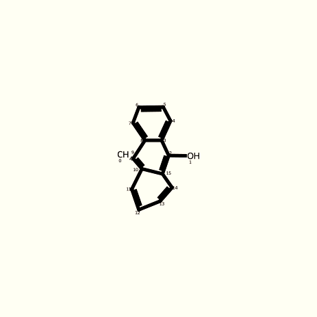 C.Oc1c2ccccc2cc2ccccc12